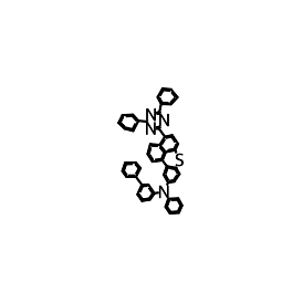 c1ccc(-c2cccc(N(c3ccccc3)c3ccc4c(c3)-c3cccc5c(-c6nc(-c7ccccc7)nc(-c7ccccc7)n6)ccc(c35)S4)c2)cc1